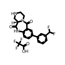 O=C(O)C(F)(F)F.O=C1Nc2ccc(-c3cccc(C(F)F)c3)cc2C(=O)N2CCNC[C@@H]12